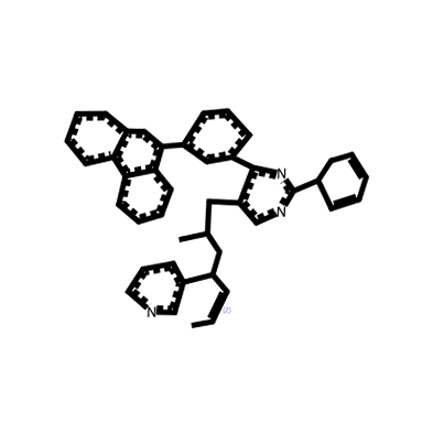 C/C=C\C(CC(C)Cc1cnc(C2C=CC=CC2)nc1-c1cccc(-c2cc3ccccc3c3ccccc23)c1)c1cccnc1